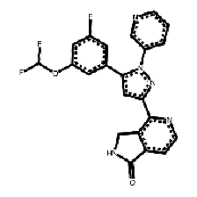 O=C1NCc2c1ccnc2-c1cc(-c2cc(F)cc(OC(F)F)c2)n(-c2cccnc2)n1